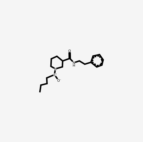 CCCC[S+]([O-])N1CCCC(C(=O)NCCc2ccccc2)C1